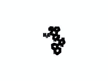 CCC12CCCN1c1nc(-n3ncnc3-c3cccc4ncccc34)ncc1N(C)C2=O